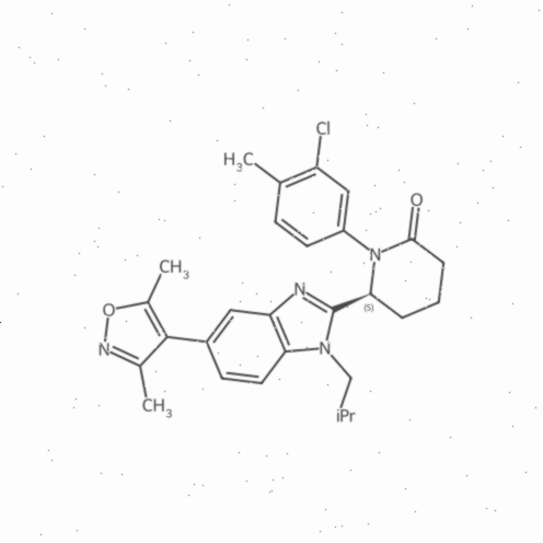 Cc1ccc(N2C(=O)CCC[C@H]2c2nc3cc(-c4c(C)noc4C)ccc3n2CC(C)C)cc1Cl